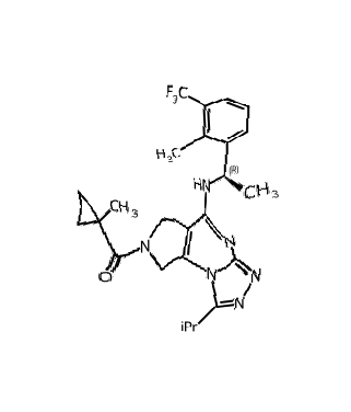 Cc1c([C@@H](C)Nc2nc3nnc(C(C)C)n3c3c2CN(C(=O)C2(C)CC2)C3)cccc1C(F)(F)F